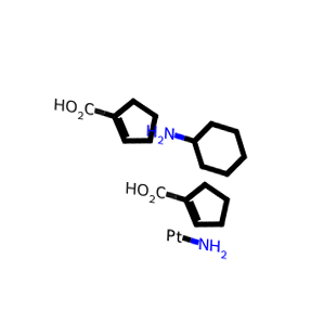 NC1CCCCC1.O=C(O)C1=CCCC1.O=C(O)C1=CCCC1.[NH2][Pt]